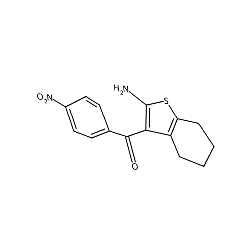 Nc1sc2c(c1C(=O)c1ccc([N+](=O)[O-])cc1)CCCC2